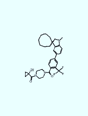 CN1CC2(CCCCCCC2)c2cc(-c3ccc(C(=O)N4CCN(C(=O)C5(O)CC5)CC4)c(C(F)(F)F)c3)ccc21